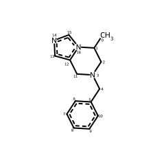 CC1CN(Cc2ccccc2)Cc2cncn21